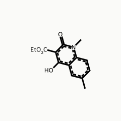 CCOC(=O)c1c(O)c2cc(C)ccc2n(C)c1=O